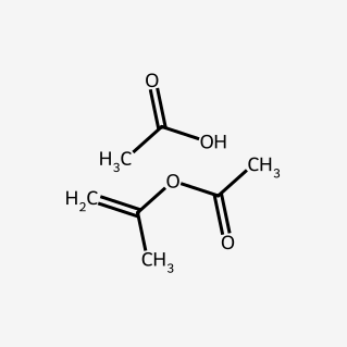 C=C(C)OC(C)=O.CC(=O)O